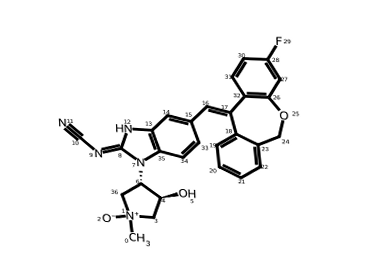 C[N+]1([O-])C[C@H](O)[C@@H](n2/c(=N/C#N)[nH]c3cc(/C=C4\c5ccccc5COc5cc(F)ccc54)ccc32)C1